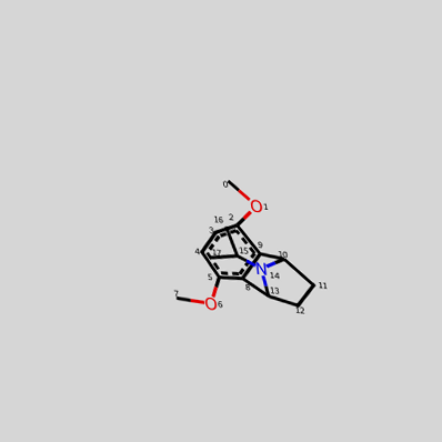 COc1ccc(OC)c2c1C1CCC2N1C(C)C